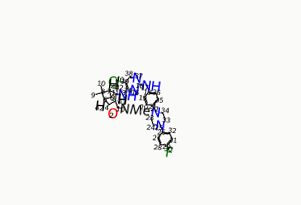 CNC(=O)[C@H]1C[C@H]2C[C@H](C2(C)C)[C@@]1(C)Nc1nc(Nc2ccc(N3CCN(c4ccc(F)cc4)CC3)cc2)ncc1Cl